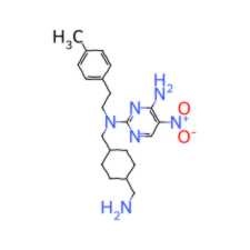 Cc1ccc(CCN(CC2CCC(CN)CC2)c2ncc([N+](=O)[O-])c(N)n2)cc1